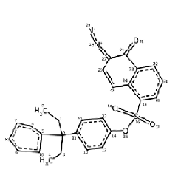 CCC(CC)(c1cc[c]cc1)c1ccc(OS(=O)(=O)c2cccc3c2C=CC(=[N+]=[N-])C3=O)cc1